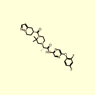 C[C@@H](C(=O)Nc1cnc(Oc2ccc(F)cc2F)cn1)N1CCN(C(=O)[C@H]2CCn3nccc3C2)C(C)(C)C1